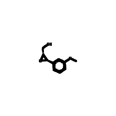 COc1cccc([C@H]2O[C@@H]2CO)c1